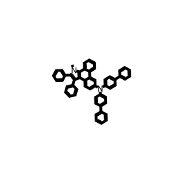 Cn1c(-c2ccccc2)c(-c2ccccc2)c2c3ccc(N(c4ccc(-c5ccccc5)cc4)c4ccc(-c5ccccc5)cc4)cc3c3ccccc3c21